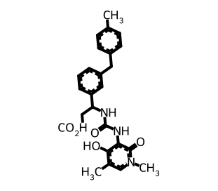 Cc1ccc(Cc2cccc(C(CC(=O)O)NC(=O)Nc3c(O)c(C)cn(C)c3=O)c2)cc1